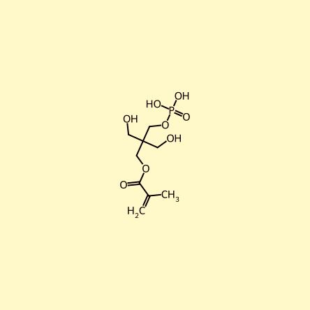 C=C(C)C(=O)OCC(CO)(CO)COP(=O)(O)O